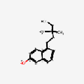 CCC(C)(C)CCc1cccc2cc(O)ccc12